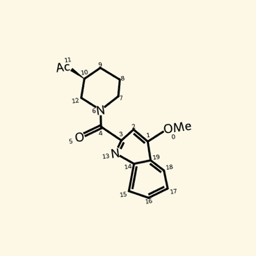 COc1cc(C(=O)N2CCC[C@H](C(C)=O)C2)nc2ccccc12